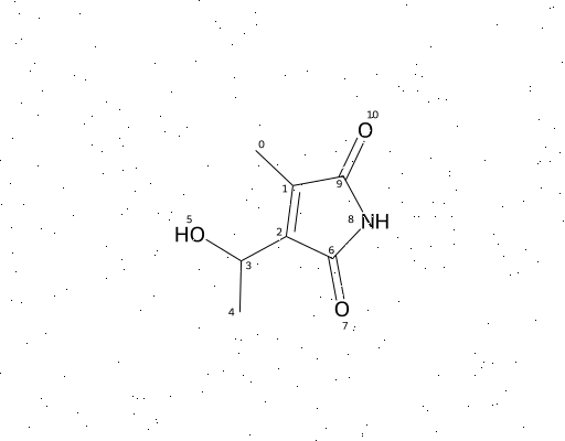 CC1=C(C(C)O)C(=O)NC1=O